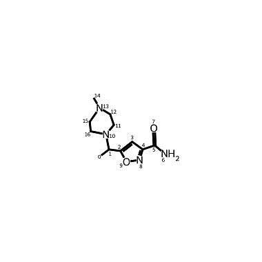 CC(c1cc(C(N)=O)no1)N1CCN(C)CC1